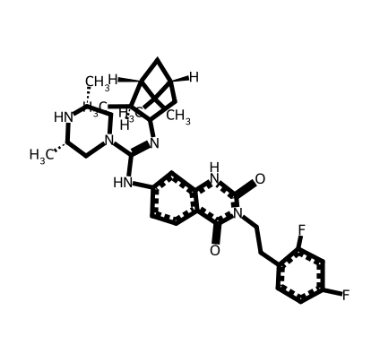 C[C@@H]1CN(C(=NC2C[C@H]3C[C@@H]([C@@H]2C)C3(C)C)Nc2ccc3c(=O)n(CCc4ccc(F)cc4F)c(=O)[nH]c3c2)C[C@H](C)N1